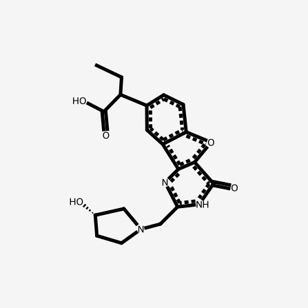 CCC(C(=O)O)c1ccc2oc3c(=O)[nH]c(CN4CC[C@H](O)C4)nc3c2c1